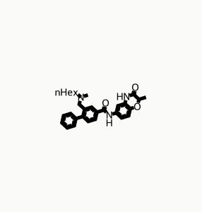 CCCCCCN(C)Cc1cc(C(=O)Nc2ccc3c(c2)NC(=O)C(C)O3)ccc1-c1ccccc1